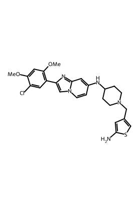 COc1cc(OC)c(-c2cn3ccc(NC4CCN(Cc5csc(N)c5)CC4)cc3n2)cc1Cl